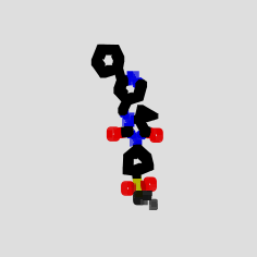 O=C1N(c2ccc(S(=O)(=O)C(F)(F)F)cc2)C(=O)C2(CC2)N1Cc1ccnc(-c2ccccc2)c1